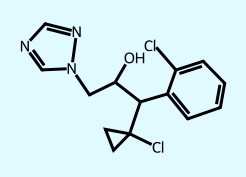 OC(Cn1cncn1)C(c1ccccc1Cl)C1(Cl)CC1